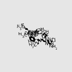 CCN(CC)CCc1nc2c(N)nc(Cl)nc2n1[C@@H]1O[C@H](COP(=O)(O)OP(=O)(N[C@@H](CCSC)C(=O)OC)Oc2ccccc2)C(O)C1F